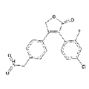 O=C1OCC(c2ccc(C[SH](=O)=O)cc2)=C1c1ccc(Cl)cc1F